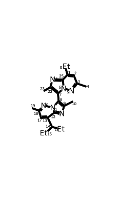 CCc1cc(C)nn2c(-c3c(C)nc4c(C(CC)CC)cc(C)nn34)c(C)nc12